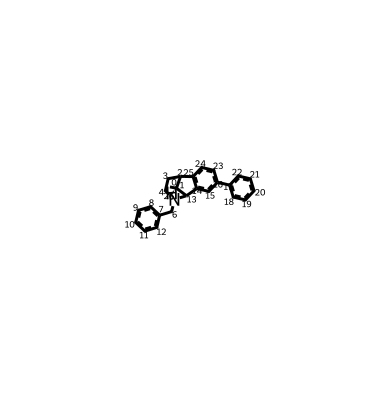 C[C@H]1C2CCN(Cc3ccccc3)C1c1cc(-c3ccccc3)ccc12